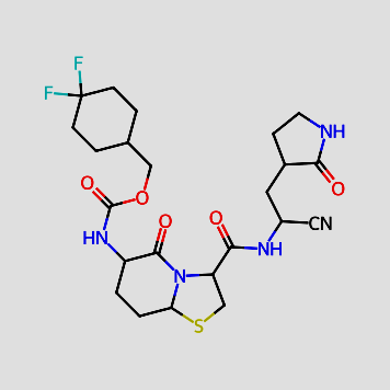 N#CC(CC1CCNC1=O)NC(=O)C1CSC2CCC(NC(=O)OCC3CCC(F)(F)CC3)C(=O)N21